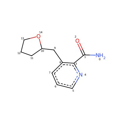 NC(=O)c1ncccc1CC1CCCO1